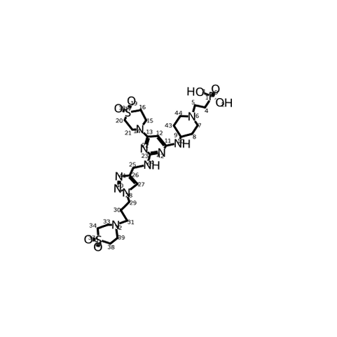 O=P(O)(O)CCN1CCC(Nc2cc(N3CCS(=O)(=O)CC3)nc(NCc3cn(CCCN4CCS(=O)(=O)CC4)nn3)n2)CC1